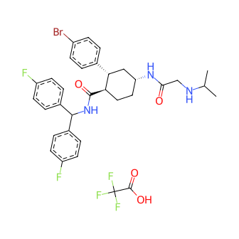 CC(C)NCC(=O)N[C@@H]1CC[C@@H](C(=O)NC(c2ccc(F)cc2)c2ccc(F)cc2)[C@H](c2ccc(Br)cc2)C1.O=C(O)C(F)(F)F